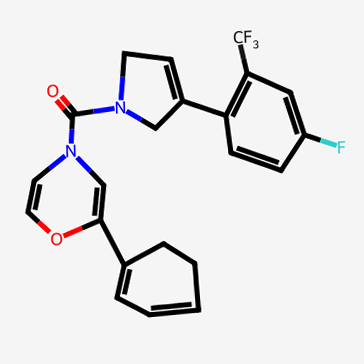 O=C(N1C=COC(C2=CC=CCC2)=C1)N1CC=C(c2ccc(F)cc2C(F)(F)F)C1